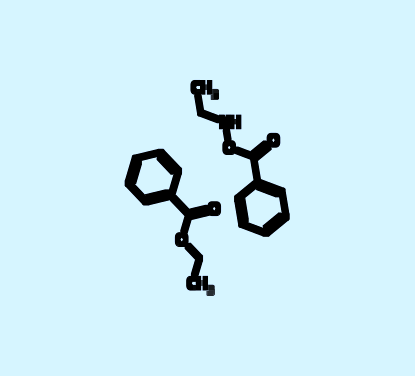 CCNOC(=O)c1ccccc1.CCOC(=O)c1ccccc1